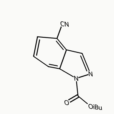 CC(C)COC(=O)n1ncc2c(C#N)cccc21